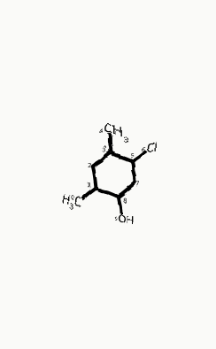 CC1CC(C)C(Cl)CC1O